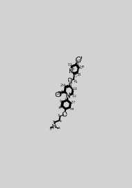 CN(C)CCCOc1ccc(-n2ccc(OCc3ccc(Cl)cn3)cc2=O)cc1